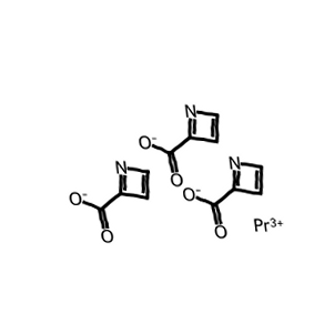 O=C([O-])C1=NC=C1.O=C([O-])C1=NC=C1.O=C([O-])C1=NC=C1.[Pr+3]